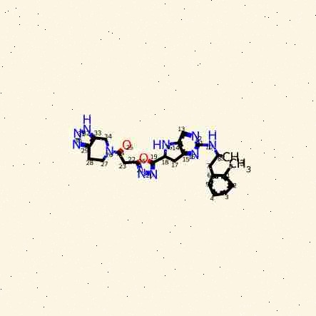 Cc1ccccc1CC(C)Nc1ncc2c(n1)CC(c1nnc(CC(=O)N3CCc4nn[nH]c4C3)o1)N2